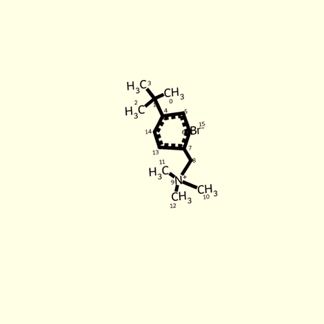 CC(C)(C)c1ccc(C[N+](C)(C)C)cc1.[Br-]